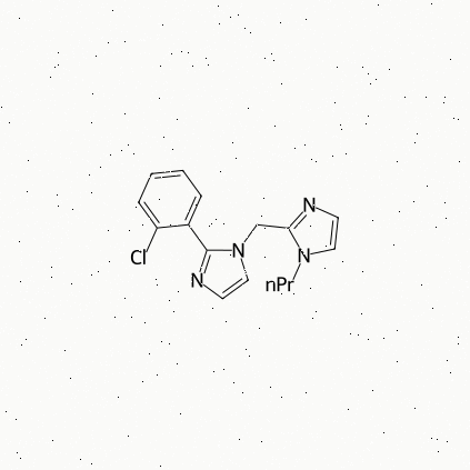 CCCn1ccnc1Cn1ccnc1-c1ccccc1Cl